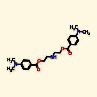 CN(C)c1ccc(C(=O)OCCNCCOC(=O)c2ccc(N(C)C)cc2)cc1